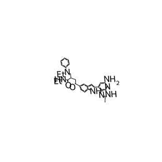 CCNC(=O)C(CC(=O)c1ccc2[nH]c(-c3cc(N)nc4[nH]c(C)nc34)cc2c1)CN(CC)c1ccccc1